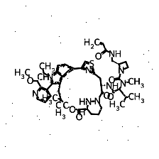 C=CC(=O)NC[C@H]1CCN1C(=O)N(C)C(C(=O)N[C@H]1Cc2nc(cs2)-c2ccc3c(c2)c(c(-c2cccnc2[C@H](C)OC)n3CC)CC(C)(C)COC(=O)[C@@H]2CCCN(N2)C1=O)C(C)C